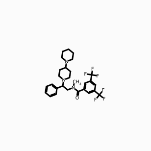 CN(CC(c1ccccc1)N1CCC(N2CCCCC2)CC1)C(=O)c1cc(C(F)(F)F)cc(C(F)(F)F)c1